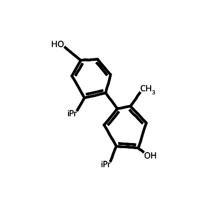 Cc1cc(O)c(C(C)C)cc1-c1ccc(O)cc1C(C)C